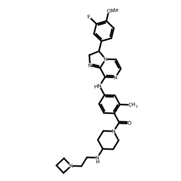 COc1ccc(C2CN=C3C(Nc4ccc(C(=O)N5CCC(NCCN6CCC6)CC5)c(C)c4)=NC=CN32)cc1F